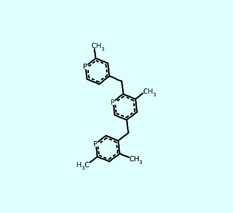 Cc1cc(Cc2pcc(Cc3cpc(C)cc3C)cc2C)ccp1